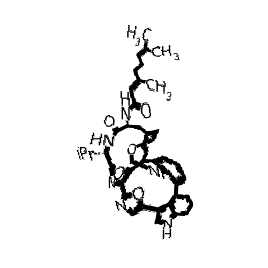 CC(C)=CCC/C(C)=C/C(=O)N[C@H]1Cc2ccc3c(c2)[C@]24c5cccc(c5NC2O3)-c2cccc3[nH]cc(c23)-c2cnc(o2)-c2nc(oc24)[C@H](C(C)C)NC1=O